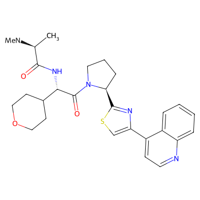 CN[C@@H](C)C(=O)N[C@H](C(=O)N1CCC[C@H]1c1nc(-c2ccnc3ccccc23)cs1)C1CCOCC1